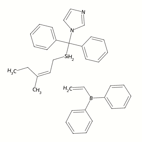 C=CB(c1ccccc1)c1ccccc1.CCC(C)=CC[SiH2]C(c1ccccc1)(c1ccccc1)n1ccnc1